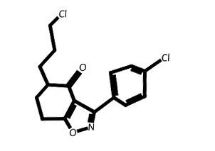 O=C1c2c(-c3ccc(Cl)cc3)noc2CCC1CCCCl